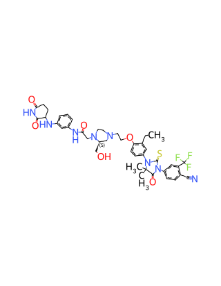 CCc1cc(N2C(=S)N(c3ccc(C#N)c(C(F)(F)F)c3)C(=O)C2(C)C)ccc1OCCN1CCN(CC(=O)Nc2cccc(NC3CCC(=O)NC3=O)c2)[C@H](CO)C1